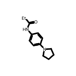 CCC(=O)Nc1ccc(N2CCCC2)cc1